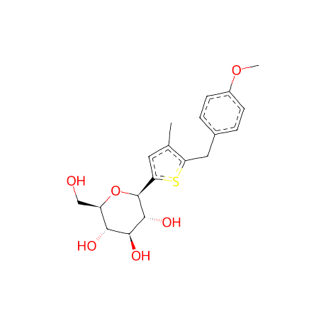 COc1ccc(Cc2sc([C@@H]3O[C@H](CO)[C@@H](O)[C@H](O)[C@H]3O)cc2C)cc1